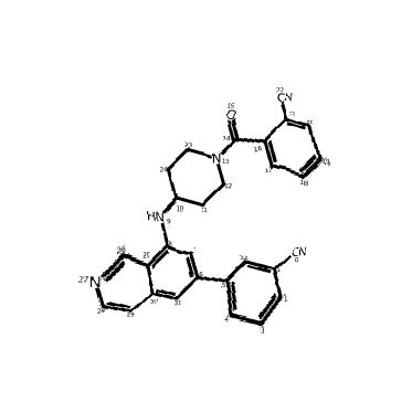 N#Cc1cccc(-c2cc(NC3CCN(C(=O)c4ccccc4C#N)CC3)c3cnccc3c2)c1